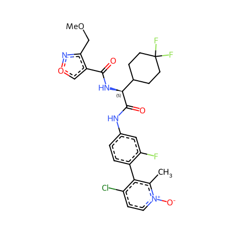 COCc1nocc1C(=O)N[C@H](C(=O)Nc1ccc(-c2c(Cl)cc[n+]([O-])c2C)c(F)c1)C1CCC(F)(F)CC1